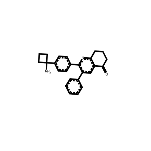 NC1(c2ccc(-c3nc4c(cc3-c3ccccc3)C(=O)CCC4)cc2)CCC1